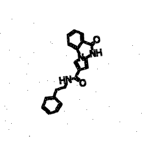 O=C(NCCc1ccccc1)c1cc2[nH]c(=O)c3ccccc3n2c1